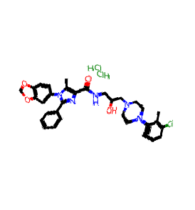 Cc1c(Cl)cccc1N1CCN(CC(O)CNC(=O)c2nc(-c3ccccc3)n(-c3ccc4c(c3)OCO4)c2C)CC1.Cl.Cl